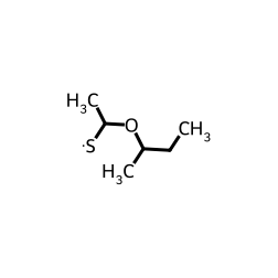 CCC(C)OC(C)[S]